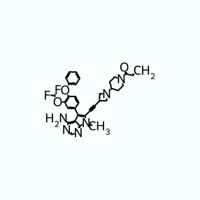 C=CC(=O)N1CCC(N2CC(C#Cc3c(-c4ccc(Oc5ccccc5)c(OC(F)F)c4)c4c(N)ncnc4n3C)C2)CC1